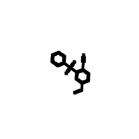 N#Cc1ccc(C=O)cc1S(=O)(=O)c1ccccc1